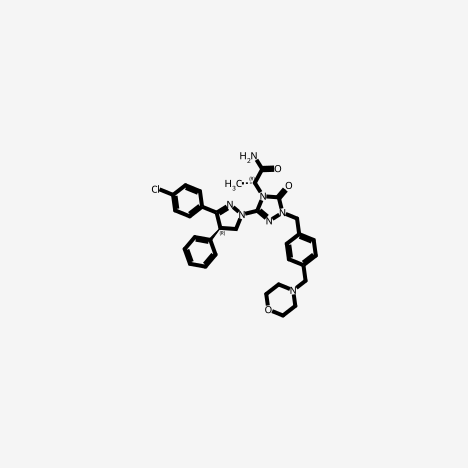 C[C@H](C(N)=O)n1c(N2C[C@@H](c3ccccc3)C(c3ccc(Cl)cc3)=N2)nn(Cc2ccc(CN3CCOCC3)cc2)c1=O